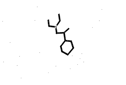 CCN([CH]C(C)C1CCCCC1)CC